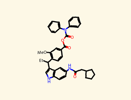 CCC(c1ccc(C(=O)OC(=O)N(c2ccccc2)c2ccccc2)cc1OC)c1c[nH]c2ccc(NC(=O)CC3CCCC3)cc12